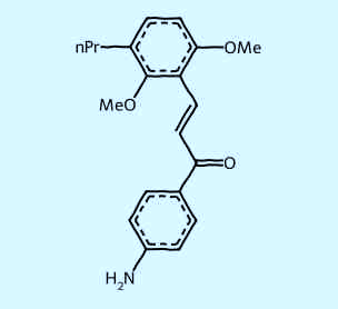 CCCc1ccc(OC)c(C=CC(=O)c2ccc(N)cc2)c1OC